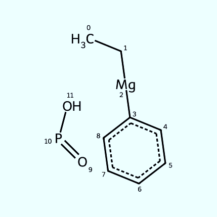 C[CH2][Mg][c]1ccccc1.O=PO